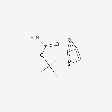 CC(C)(C)OC(N)=O.c1sc2nc1-2